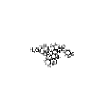 Cc1ccc(C(=O)Nc2ccc(F)cc2)cc1-c1nc(N2CCN(C)CC2)nc2c1CNC(=O)N2c1c(F)cccc1F